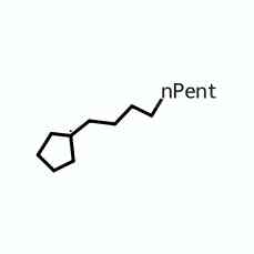 [CH2]CCCCCCCC[C]1CCCC1